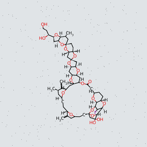 C=C1CC2CC[C@]34CC(O)(O)C(O3)[C@@H]3O[C@H]5CC[C@H](CC(=O)O[C@@H]6C[C@@H]7O[C@@H]8C[C@]9(C[C@@H]%10O[C@@]%11(CC[C@@H]%10O9)C[C@H](C)[C@@H]9O[C@H]([C@@H](O)CCO)C[C@@H]9O%11)O[C@@H]8C[C@@H]7O[C@H]6C[C@H]6O[C@@H](CC[C@@H]1O2)C[C@@H](C)C6=C)O[C@@H]5[C@H](O4)[C@@H]3I